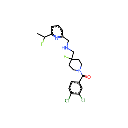 CC(F)c1cccc(CNCC2(F)CCN(C(=O)c3ccc(Cl)c(Cl)c3)CC2)n1